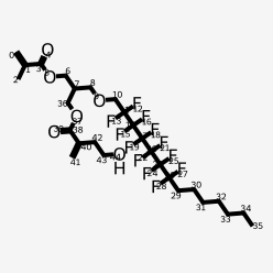 C=C(C)C(=O)OCC(COCC(F)(F)C(F)(F)C(F)(F)C(F)(F)C(F)(F)C(F)(F)CCCCCCC)COC(=O)C(=C)CCO